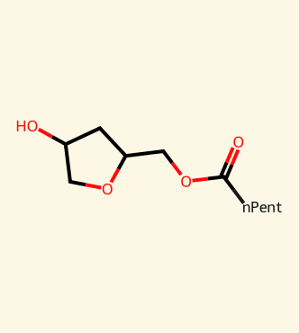 CCCCCC(=O)OCC1CC(O)CO1